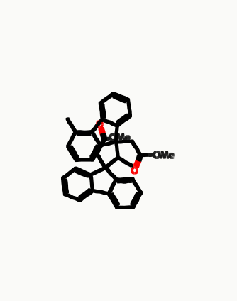 COC(=O)CC1(C(C)C2(CC(=O)OC)c3ccccc3-c3c(C)cccc32)c2ccccc2-c2ccccc21